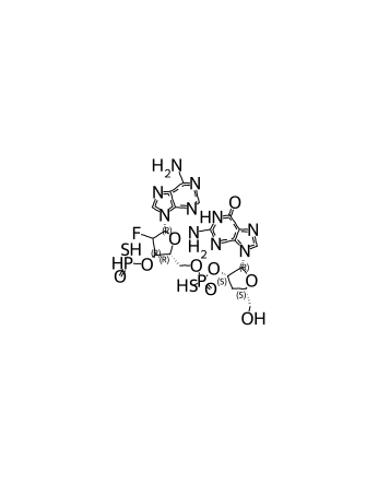 Nc1nc2c(ncn2[C@@H]2O[C@H](CO)C[C@@H]2OP(=O)(S)OC[C@H]2O[C@@H](n3cnc4c(N)ncnc43)C(F)[C@@H]2O[PH](=O)S)c(=O)[nH]1